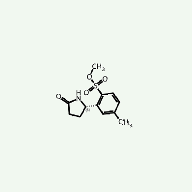 COS(=O)(=O)c1ccc(C)cc1[C@@H]1CCC(=O)N1